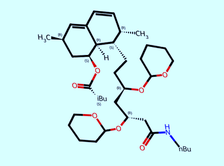 CCCCNC(=O)C[C@@H](C[C@@H](CC[C@@H]1[C@@H]2C(=C[C@H](C)C[C@@H]2OC(=O)[C@@H](C)CC)C=C[C@@H]1C)OC1CCCCO1)OC1CCCCO1